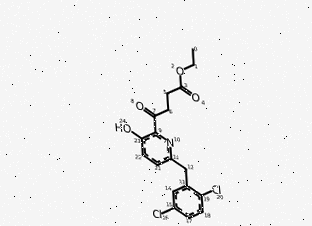 CCOC(=O)CCC(=O)c1nc(Cc2cc(Cl)ccc2Cl)ccc1O